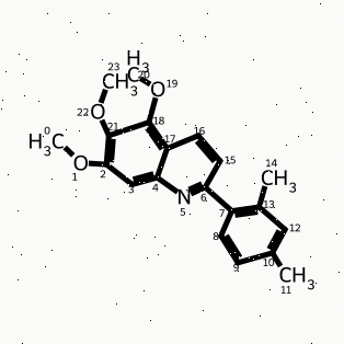 COc1cc2nc(-c3ccc(C)cc3C)ccc2c(OC)c1OC